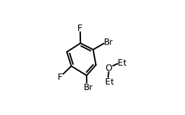 CCOCC.Fc1cc(F)c(Br)cc1Br